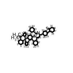 CC1(C)c2ccccc2C2(c3ccccc3-c3c(-c4ccccc4-c4cc(-c5ccc6c(c5)sc5ccccc56)nc(-c5ccccc5)n4)cccc32)c2ccccc21